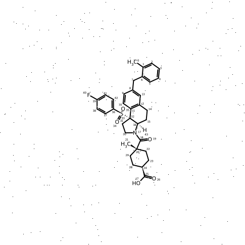 Cc1ccccc1Cc1ccc2c(c1)CC[C@H]1N(C(=O)[C@]3(C)CC[C@@H](C(=O)O)CC3)CC[C@@]21S(=O)(=O)c1ccc(F)cc1